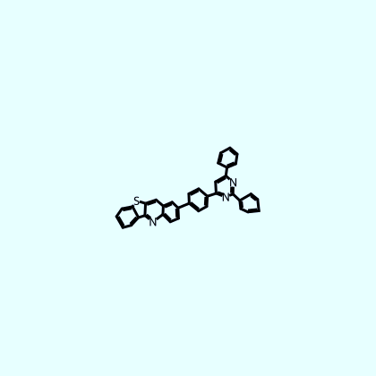 c1ccc(-c2cc(-c3ccc(-c4ccc5nc6c(cc5c4)sc4ccccc46)cc3)nc(-c3ccccc3)n2)cc1